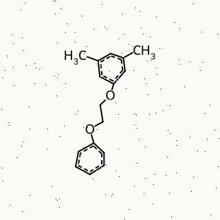 Cc1cc(C)cc(OCCOc2ccccc2)c1